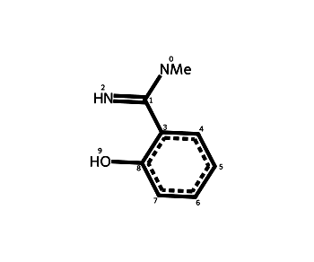 CNC(=N)c1ccccc1O